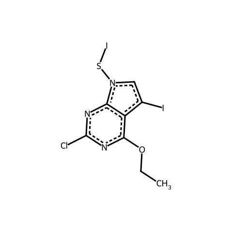 CCOc1nc(Cl)nc2c1c(I)cn2SI